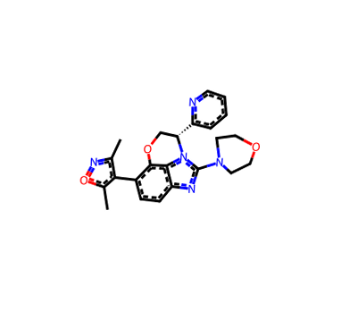 Cc1noc(C)c1-c1ccc2nc(N3CCOCC3)n3c2c1OC[C@@H]3c1ccccn1